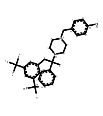 [CH2]C(Cc1cc(C(F)(F)F)cc(C(F)(F)F)c1)(c1ccccc1)N1CCN(Cc2ccc(Cl)cc2)CC1